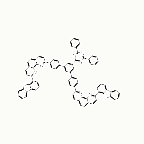 c1ccc(-c2nc(-c3ccccc3)nc(-c3cc(-c4ccc(-c5ccc6ccc7ccc(-c8cccc9c8sc8ccccc89)nc7c6n5)cc4)cc(-c4ccc(-c5ccc6ccc7ccc(-c8cccc9c8sc8ccccc89)nc7c6n5)cc4)c3)n2)cc1